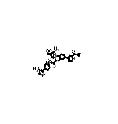 Cc1nocc1C(=O)N[C@@H](Cc1cc(-c2ccnc(C(=O)C3CC3)c2)ccc1Cl)C(=O)Nc1ccc(-c2nncn2C)cc1